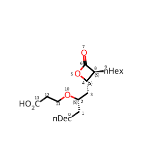 CCCCCCCCCCC[C@@H](C[C@@H]1OC(=O)[C@H]1CCCCCC)OCCC(=O)O